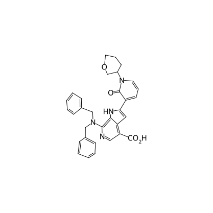 O=C(O)c1cnc(N(Cc2ccccc2)Cc2ccccc2)c2[nH]c(-c3cccn(C4CCCOC4)c3=O)cc12